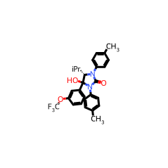 Cc1ccc(N2C(=O)N(c3ccc(C)cc3)C(O)(c3cccc(OC(F)(F)F)c3)[C@@H]2C(C)C)cc1